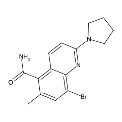 Cc1cc(Br)c2nc(N3CCCC3)ccc2c1C(N)=O